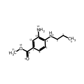 CCCNc1ccc(C(=O)OC)cc1N